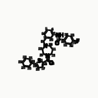 O=C(Nc1cccc(CN2CCCN(C(=O)c3ccc(-c4ccccc4)s3)CC2)c1)c1ccc(F)cc1